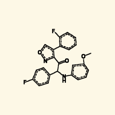 COc1cccc(NC(C(=O)c2nocc2-c2ccccc2F)c2ccc(F)cc2)c1